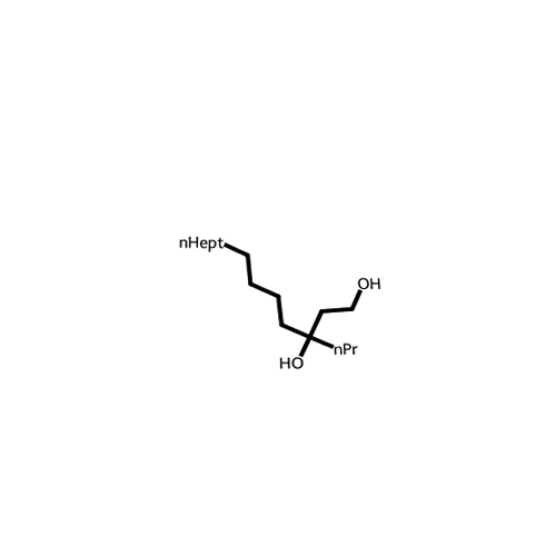 CCCCCCCCCCCC(O)(CCC)CCO